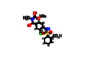 CN(C(=O)OC(C)(C)C)C(=O)c1ccc(NS(=O)(=O)C2CCCC=C2C(=O)O)c(Cl)c1